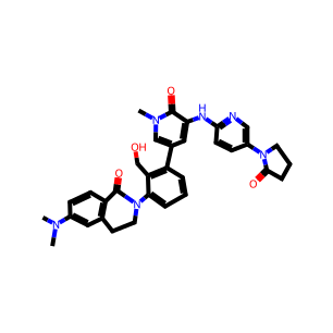 CN(C)c1ccc2c(c1)CCN(c1cccc(-c3cc(Nc4ccc(N5CCCC5=O)cn4)c(=O)n(C)c3)c1CO)C2=O